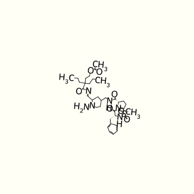 CCCC(CCC)(CCOC(C)=O)C(=O)N=CC1CC(CNC(=O)[C@@H]2CCCN2C(=O)[C@@H](Cc2ccccc2)NS(C)(=O)=O)CCN1N